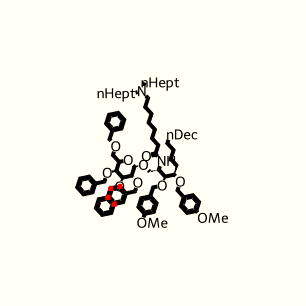 CCCCCCCCCCCCCC[C@@H](OCc1ccc(OC)cc1)[C@@H](OCc1ccc(OC)cc1)[C@H](CO[C@H]1OC(COCc2ccccc2)[C@H](OCc2ccccc2)[C@H](OCc2ccccc2)[C@H]1OCc1ccccc1)NC(=O)CCCCCCCN(CCCCCCC)CCCCCCC